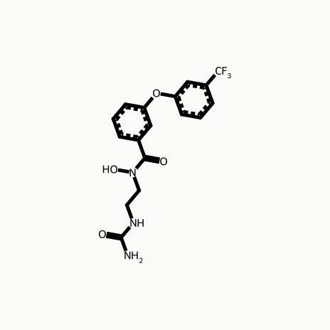 NC(=O)NCCN(O)C(=O)c1cccc(Oc2cccc(C(F)(F)F)c2)c1